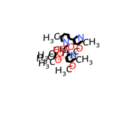 COc1cc(B2OC(C)(C)C(C)(C)O2)cnc1C.COc1cc(C2=CC[C@H](C)CN2C(=O)O)cnc1C